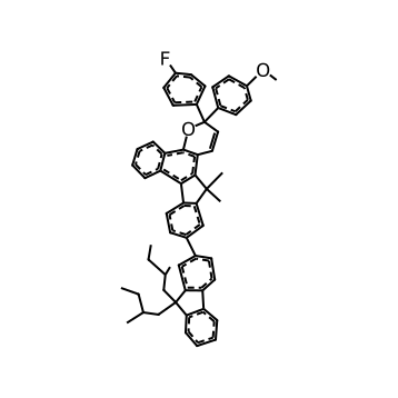 CCC(C)CC1(CC(C)CC)c2ccccc2-c2ccc(-c3ccc4c(c3)C(C)(C)c3c5c(c6ccccc6c3-4)OC(c3ccc(F)cc3)(c3ccc(OC)cc3)C=C5)cc21